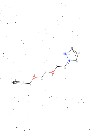 C#CCOCCOCCN1CC=CN1